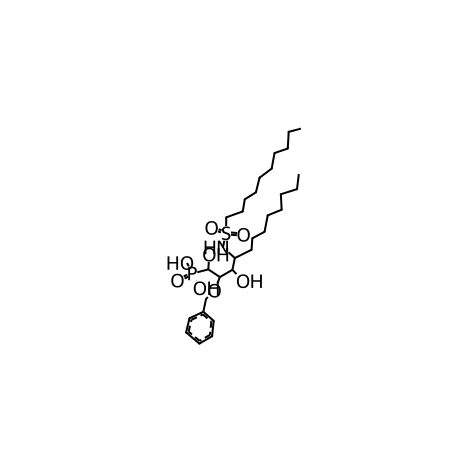 CCCCCCCCCCS(=O)(=O)NC(CCCCCCCC)C(O)C(OCc1ccccc1)C(O)P(=O)(O)O